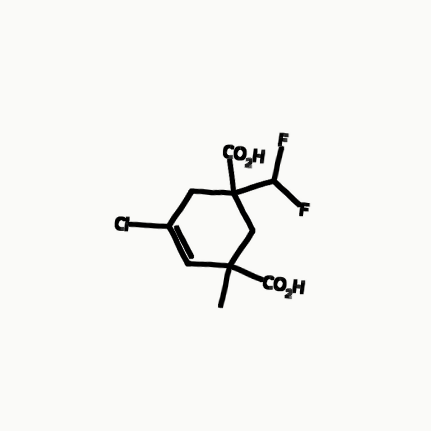 CC1(C(=O)O)C=C(Cl)CC(C(=O)O)(C(F)F)C1